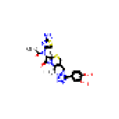 Nc1nc(N(C(=O)C=O)[C@@H]2C(=O)N3C(C(=O)O)=C(Cn4nnnc4-c4ccc(O)c(O)c4)CS[C@H]23)cs1